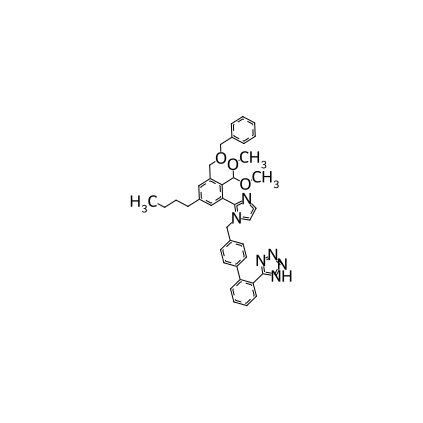 CCCCc1cc(COCc2ccccc2)c(C(OC)OC)c(-c2nccn2Cc2ccc(-c3ccccc3-c3nnn[nH]3)cc2)c1